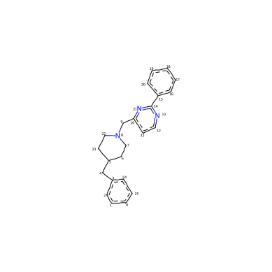 c1ccc(CC2CCN(Cc3ccnc(-c4ccccc4)n3)CC2)cc1